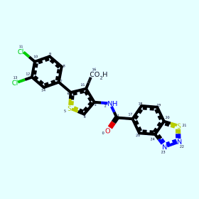 O=C(Nc1csc(-c2ccc(Cl)c(Cl)c2)c1C(=O)O)c1ccc2snnc2c1